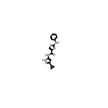 O=C(Nc1cc(C2CC2)n[nH]1)c1csc(Nc2ccccc2)n1